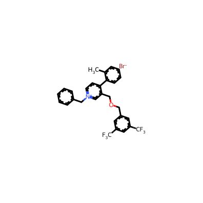 Cc1ccccc1-c1cc[n+](Cc2ccccc2)cc1COCc1cc(C(F)(F)F)cc(C(F)(F)F)c1.[Br-]